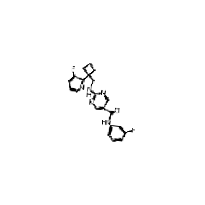 O=C(Nc1cccc(F)c1)c1cnc(NCC2(c3ncccc3F)CCC2)nc1